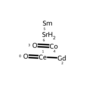 [O]=[Ce][Gd].[O]=[Co].[Sm].[SrH2]